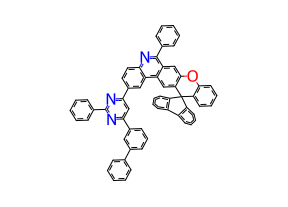 c1ccc(-c2cccc(-c3cc(-c4ccc5nc(-c6ccccc6)c6cc7c(cc6c5c4)C4(c5ccccc5O7)c5ccccc5-c5ccccc54)nc(-c4ccccc4)n3)c2)cc1